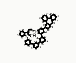 C/C=C\c1c(C)n(-c2cccc(-c3cccc(-c4cccc(-c5cccc(-c6ccc7c(c6)-c6ccccc6-c6ccccc6C7)c5)c4)c3)c2)c2ccccc12